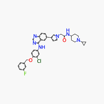 O=C(Cn1ccc(-c2ccc3ncnc(Nc4ccc(OCc5cccc(F)c5)c(Cl)c4)c3c2)c1)NC1CCN(C2CC2)CC1